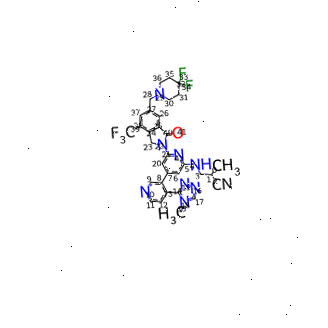 CC(C#N)CNc1cc(-c2cnccc2-c2nncn2C)cc(N2Cc3c(cc(CN4CCC(F)(F)CC4)cc3C(F)(F)F)C2=O)n1